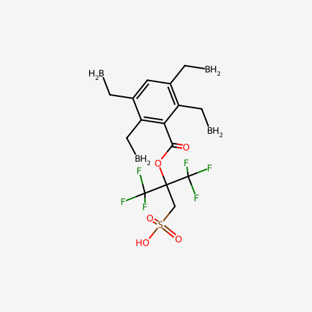 BCc1cc(CB)c(CB)c(C(=O)OC(CS(=O)(=O)O)(C(F)(F)F)C(F)(F)F)c1CB